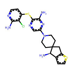 Nc1nc(N2CCC3(CC2)Cc2sccc2[C@H]3N)cnc1Sc1ccnc(N)c1Cl